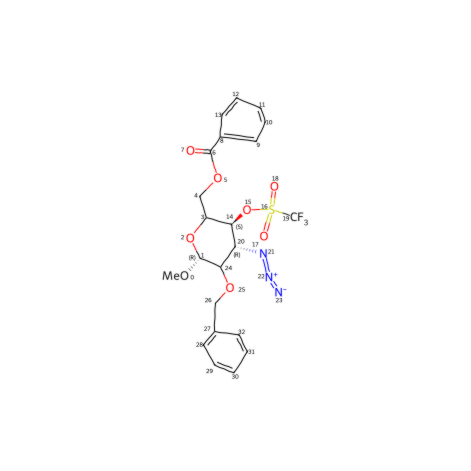 CO[C@@H]1OC(COC(=O)c2ccccc2)[C@@H](OS(=O)(=O)C(F)(F)F)[C@H](N=[N+]=[N-])C1OCc1ccccc1